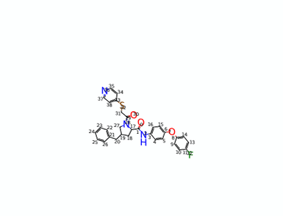 O=C(Nc1ccc(Oc2ccc(F)cc2)cc1)C1CC(Cc2ccccc2)CN1C(=O)CSc1ccncc1